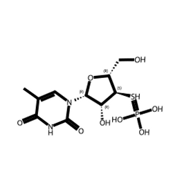 Cc1cn([C@@H]2O[C@H](CO)[C@@H]([SH]=P(O)(O)O)[C@@H]2O)c(=O)[nH]c1=O